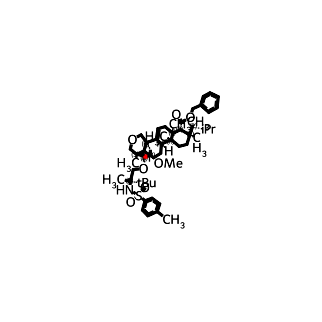 CO[C@@H]1C[C@@]23COC[C@](C)([C@@H]2CC[C@H]2C3=CC[C@@]3(C)[C@H](C(=O)OCc4ccccc4)[C@@](C)([C@H](C)C(C)C)CC[C@]23C)[C@H]1OC[C@](C)(NS(=O)(=O)c1ccc(C)cc1)C(C)(C)C